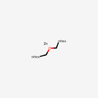 CCCCCCCOCCCCCCC.[Zn]